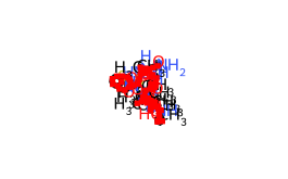 CC[C@H](C)[C@@H]([C@@H](CC(=O)N1CCC[C@H]1[C@H](OC)[C@@H](C)C(=O)N[C@H](C)[C@@H](O)c1ccccc1)OC)N(C)C(=O)[C@H](C)NC(=O)[C@H](C(C)C)N(C)C(=O)OCc1ccc(NC(=O)[C@H](CCCNC(N)=O)NC(=O)[C@@H](NC(=O)CSCCC(=O)N2CN3CN(C2)C(=O)CCSC2CCCCCCC(CCCC3=O)CCC2)C(C)C)cc1